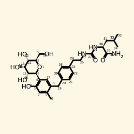 Cc1cc(O)c([C@@H]2O[C@H](CO)[C@@H](O)[C@H](O)[C@H]2O)cc1Cc1ccc(CCNC(=O)N[C@@H](CC(C)C)C(N)=O)cc1